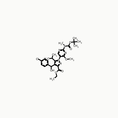 CCOC(=O)c1nn(-c2cnc(N(C)C(=O)OC(C)(C)C)nc2OC)c(C(C)C)c1C(O)c1ccc(Cl)cc1